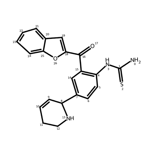 NC(=S)Nc1ccc(C2C=CCCN2)cc1C(=O)c1cc2ccccc2o1